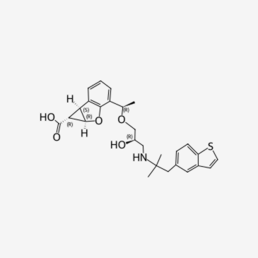 C[C@@H](OC[C@H](O)CNC(C)(C)Cc1ccc2sccc2c1)c1cccc2c1O[C@H]1[C@H](C(=O)O)[C@@H]21